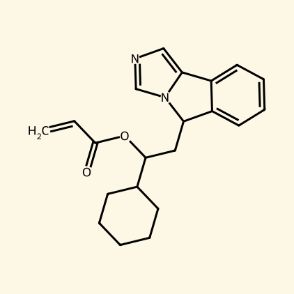 C=CC(=O)OC(CC1c2ccccc2-c2cncn21)C1CCCCC1